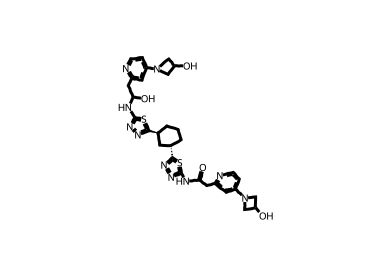 O=C(Cc1cc(N2CC(O)C2)ccn1)Nc1nnc([C@H]2CCC[C@H](c3nnc(NC(O)Cc4cc(N5CC(O)C5)ccn4)s3)C2)s1